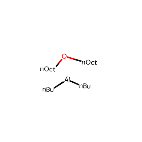 CCCCCCCCOCCCCCCCC.CCC[CH2][Al][CH2]CCC